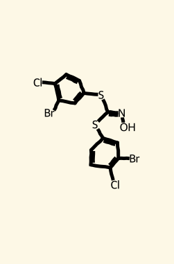 ON=C(Sc1ccc(Cl)c(Br)c1)Sc1ccc(Cl)c(Br)c1